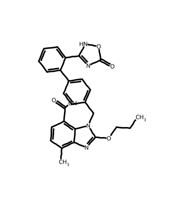 CCCOc1nc2c(C)ccc(C(=O)O)c2n1Cc1ccc(-c2ccccc2-c2nc(=O)o[nH]2)cc1